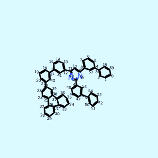 c1ccc(-c2cccc(-c3cc(-c4cccc(-c5cccc(-c6ccc7c8ccccc8c8ccccc8c7c6)c5)c4)nc(-c4cccc(-c5ccccc5)c4)n3)c2)cc1